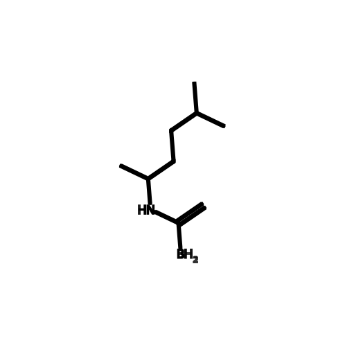 BC(=C)NC(C)CCC(C)C